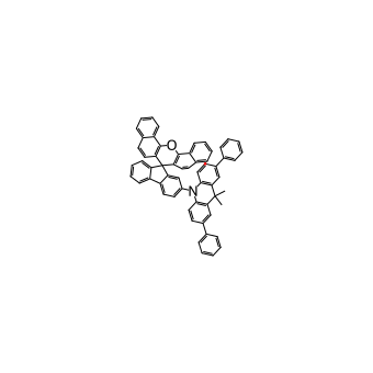 CC1(C)c2cc(-c3ccccc3)ccc2N(c2ccc3c(c2)C2(c4ccccc4-3)c3ccc4ccccc4c3Oc3c2ccc2ccccc32)c2ccc(-c3ccccc3)cc21